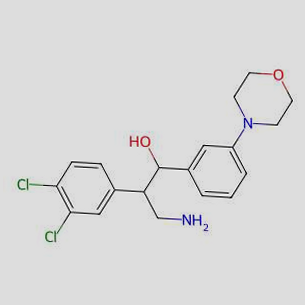 NCC(c1ccc(Cl)c(Cl)c1)C(O)c1cccc(N2CCOCC2)c1